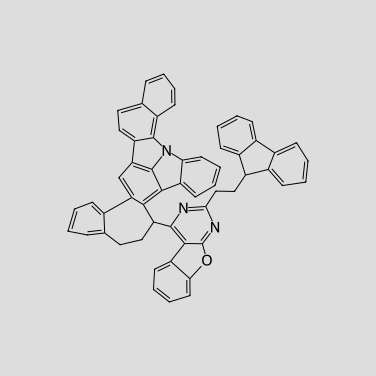 c1ccc2c(c1)CCC(c1nc(CCC3c4ccccc4-c4ccccc43)nc3oc4ccccc4c13)c1c-2cc2c3ccc4ccccc4c3n3c4ccccc4c1c23